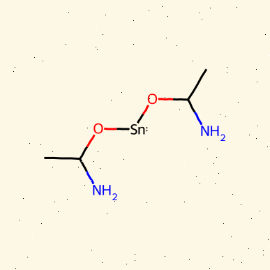 CC(N)[O][Sn][O]C(C)N